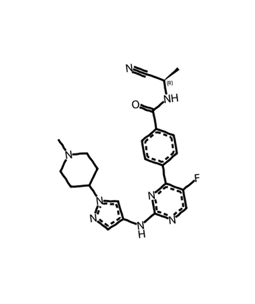 C[C@H](C#N)NC(=O)c1ccc(-c2nc(Nc3cnn(C4CCN(C)CC4)c3)ncc2F)cc1